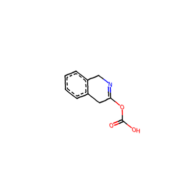 O=C(O)OC1=NCc2ccccc2C1